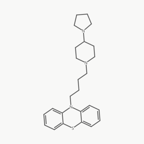 c1ccc2c(c1)Sc1ccccc1N2CCCCN1CCC(N2CCCC2)CC1